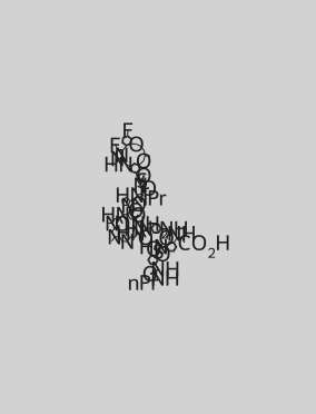 CCCNC(=O)Nc1cccc(S(=O)(=O)Nc2cccc(C(CC(=O)O)NC(=O)Nc3ccc(NC(=O)NCCN(C)CCN(C)CCN(C)CC(=O)NC(CC(N)=O)C(=O)N4CCCC4C(=O)NC(C(=O)N=S(C)(=O)Cc4cc5cc(c4)OC(C)CCOc4cc(F)ccc4-c4nc(ncc4F)N5)C(C)C)cc3)c2)c1